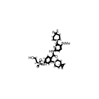 CNc1ccc(NC(=O)c2ccc(NS(=O)(=O)CCO)cc2N2CCC3(CC2)CC3)nc1N1CCC(F)(F)CC1